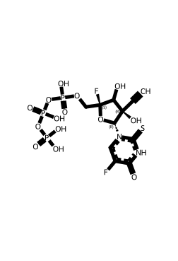 C#C[C@@]1(O)C(O)[C@@](F)(COP(=O)(O)OP(=O)(O)OP(=O)(O)O)O[C@H]1n1cc(F)c(=O)[nH]c1=S